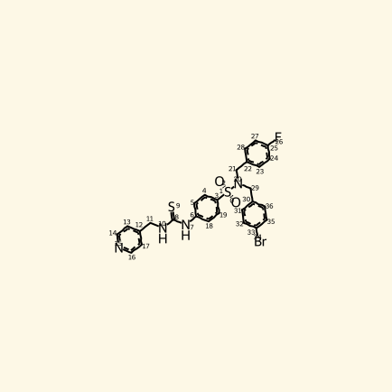 O=S(=O)(c1ccc(NC(=S)NCc2ccncc2)cc1)N(Cc1ccc(F)cc1)Cc1ccc(Br)cc1